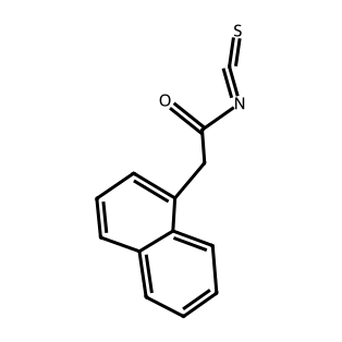 O=C(Cc1cccc2ccccc12)N=C=S